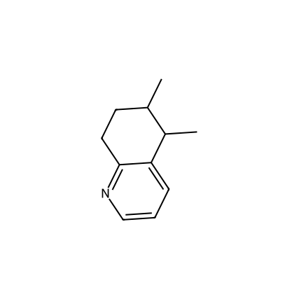 CC1CCc2ncccc2C1C